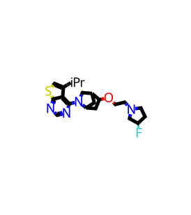 CC(C)c1csc2ncnc(N3CC4CC3CC4OCCN3CC[C@@H](F)C3)c12